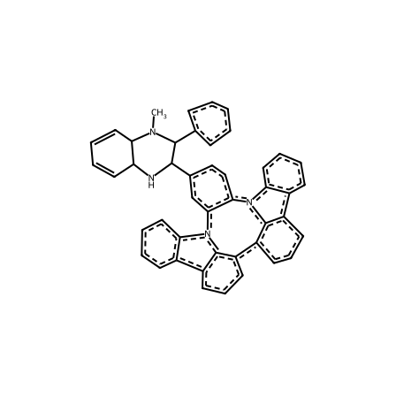 CN1C2C=CC=CC2NC(c2ccc3c(c2)n2c4ccccc4c4cccc(c5cccc6c7ccccc7n3c65)c42)C1c1ccccc1